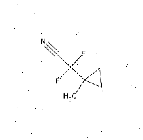 CC1(C(F)(F)C#N)CC1